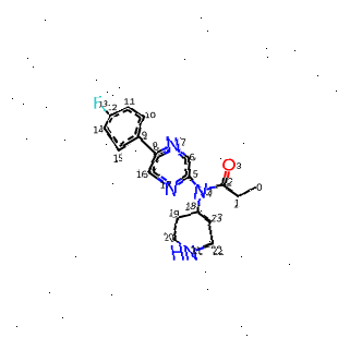 CCC(=O)N(c1cnc(-c2ccc(F)cc2)cn1)C1CCNCC1